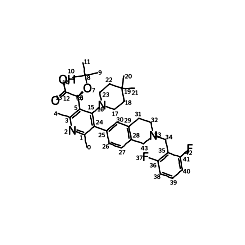 Cc1nc(C)c([C@H](OC(C)(C)C)C(=O)O)c(N2CCC(C)(C)CC2)c1-c1ccc2c(c1)CCN(Cc1c(F)cccc1F)C2